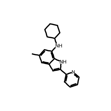 Cc1cc(NC2CCCCC2)c2[nH]c(-c3ccccn3)cc2c1